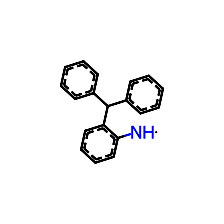 [NH]c1ccccc1C(c1ccccc1)c1ccccc1